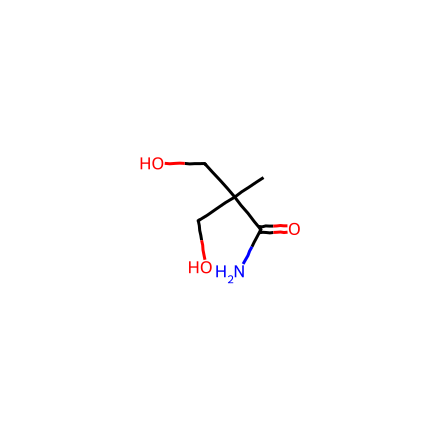 CC(CO)(CO)C(N)=O